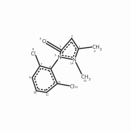 Cc1cc(=O)n(-c2c(Cl)cccc2Cl)n1C